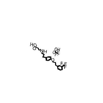 O=C(O)C(F)(F)F.O=C(O)CCNCCCc1ccc(OCCCc2cccc(C(F)(F)F)c2)cc1